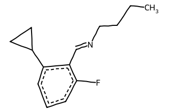 CCCC/N=C/c1c(F)cccc1C1CC1